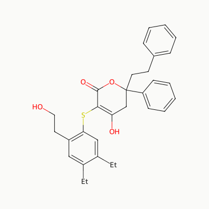 CCc1cc(CCO)c(SC2=C(O)CC(CCc3ccccc3)(c3ccccc3)OC2=O)cc1CC